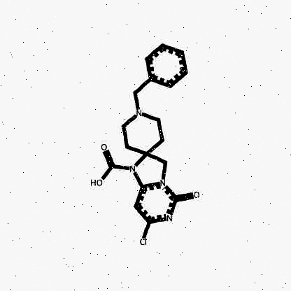 O=C(O)N1c2cc(Cl)nc(=O)n2CC12CCN(Cc1ccccc1)CC2